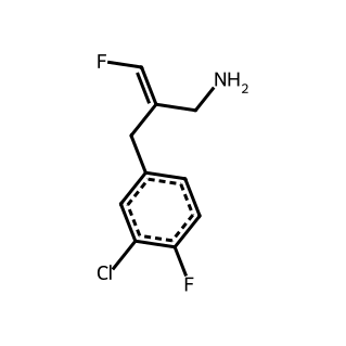 NC/C(=C/F)Cc1ccc(F)c(Cl)c1